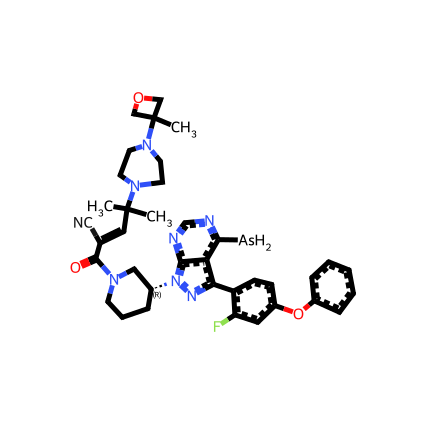 CC(C)(C=C(C#N)C(=O)N1CCC[C@@H](n2nc(-c3ccc(Oc4ccccc4)cc3F)c3c([AsH2])ncnc32)C1)N1CCN(C2(C)COC2)CC1